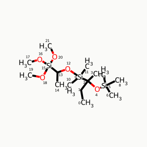 CCC(C)(O[Si](C)(C)C)[Si](C)(C)OC(C)[Si](OC)(OC)OC